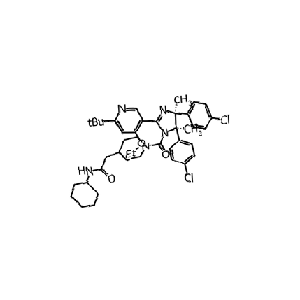 CCOc1cc(C(C)(C)C)ncc1C1=N[C@@](C)(c2ccc(Cl)cc2)[C@@](C)(c2ccc(Cl)cc2)N1C(=O)N1CCC(CC(=O)NC2CCCCC2)CC1